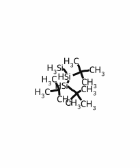 CC(C)(C)[SiH]([SiH3])[SiH](C(C)(C)C)C(C)(C)C